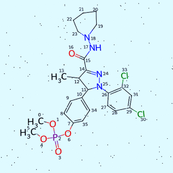 COP(=O)(OC)Oc1ccc(C2C(C)C(C(=O)NN3CCCCC3)=NN2c2ccc(Cl)cc2Cl)cc1